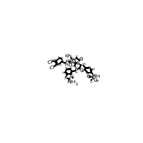 CCCN(C(=O)NCc1ccc(Cl)c(Cl)c1)N1CC(=O)N2[C@@H](Cc3ccc(NS(C)(=O)=O)cc3)C(=O)N(Cc3cccc4sc(N)nc34)C[C@@H]21